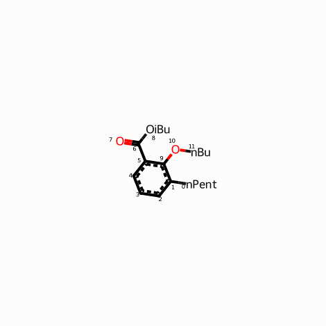 CCCCCc1cccc(C(=O)OCC(C)C)c1OCCCC